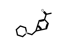 CC(=O)c1ccc2c(c1)C2CN1CCCCC1